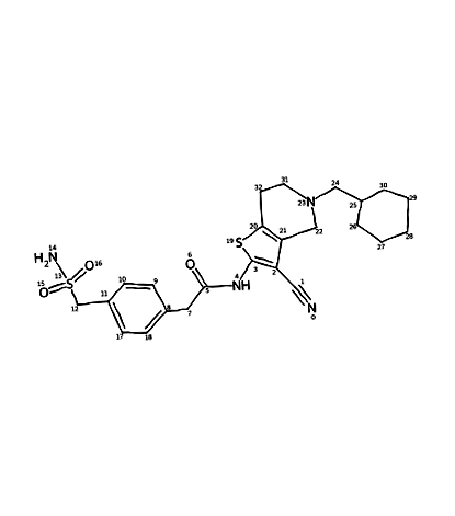 N#Cc1c(NC(=O)Cc2ccc(CS(N)(=O)=O)cc2)sc2c1CN(CC1CCCCC1)CC2